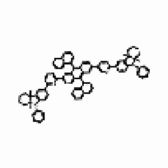 CC12CCCCC1(C)N(c1ccccc1)c1ccc(-c3ccc(-c4ccc5c(-c6cccc7ccccc67)c6cc(-c7cccc(-c8ccc9c(c8)C8(C)CCCCC8(C)N9c8ccccc8)n7)ccc6c(-c6cccc7ccccc67)c5c4)cn3)cc12